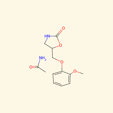 CC(N)=O.COc1ccccc1OCC1CNC(=O)O1